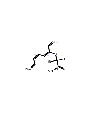 C=C/C=C\C=C(/C=C)OC(CC)(CC)[PH](=O)OC